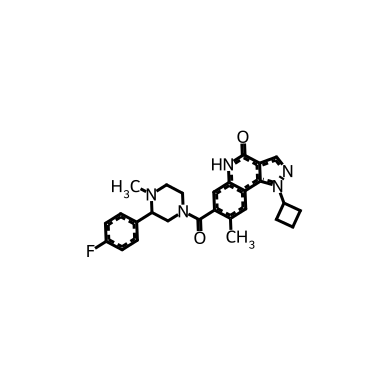 Cc1cc2c(cc1C(=O)N1CCN(C)C(c3ccc(F)cc3)C1)[nH]c(=O)c1cnn(C3CCC3)c12